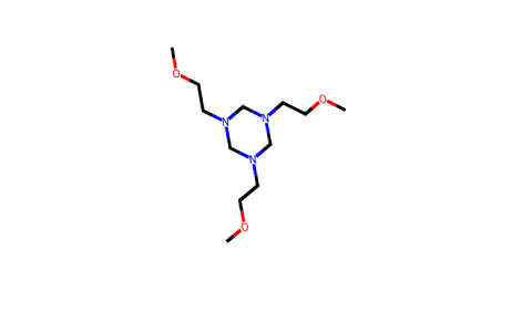 COCCN1CN(CCOC)CN(CCOC)C1